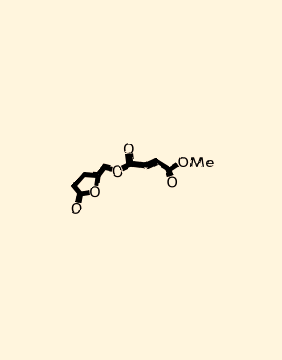 COC(=O)/C=C/C(=O)OCC1CCC(=O)O1